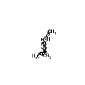 CCOCCCNC(=O)c1ccc(N2CCN(C(=O)c3ccc(C)cc3C)CC2)nc1